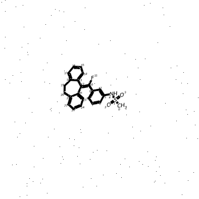 CS(=O)(=O)Nc1cccc(C(F)=C2c3ccccc3CCc3ccccc32)c1